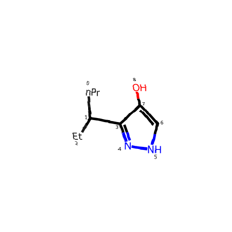 CCCC(CC)c1n[nH]cc1O